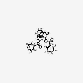 O=C(OCC1(COC(=O)c2ccncc2)C(=O)C2CCN1CC2)c1ccccc1